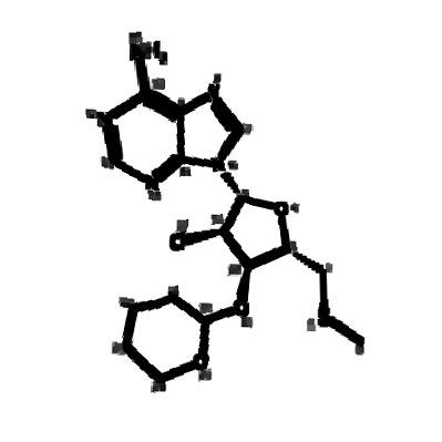 CSC[C@H]1O[C@@H](n2cnc3c(N)ncnc32)[C@H](Cl)[C@@H]1OC1CCCCO1